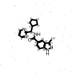 O=C(N[C@H](c1ncccn1)C1CCCC1)c1ccc2[nH]nc(I)c2c1